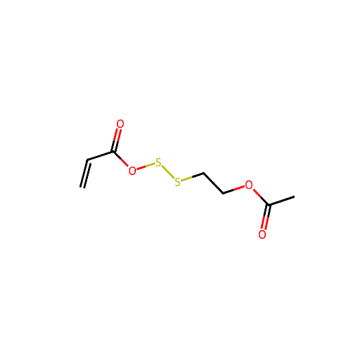 C=CC(=O)OSSCCOC(C)=O